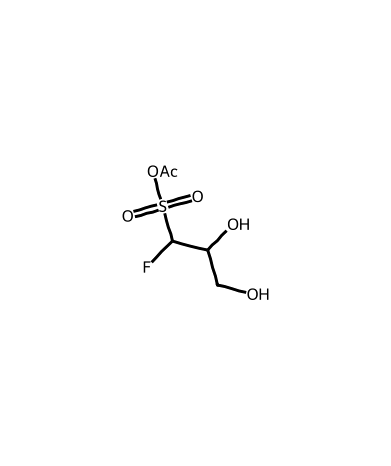 CC(=O)OS(=O)(=O)C(F)C(O)CO